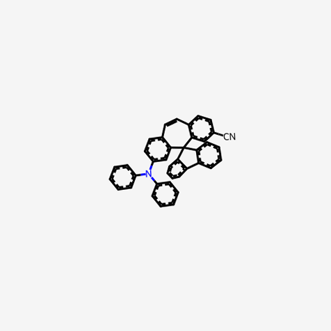 N#Cc1ccc2c(c1)C1(c3cc(N(c4ccccc4)c4ccccc4)ccc3C=C2)c2ccccc2-c2ccccc21